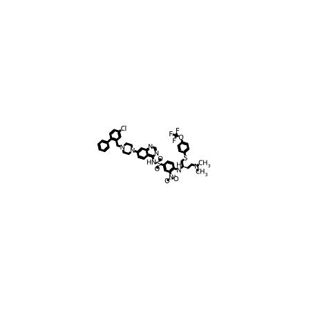 CN(C)CC[C@H](CSc1ccc(OC(F)(F)F)cc1)Nc1ccc(S(=O)(=O)Nc2ncnc3cc(N4CCN(Cc5cc(Cl)ccc5-c5ccccc5)CC4)ccc23)cc1[N+](=O)[O-]